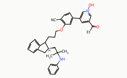 CCC(=O)c1cc(-c2ccc(C#N)c(OCCCC3c4ccccc4C[C@@H]3CC(C)(C)Nc3ccccc3)c2)c[n+](O)c1